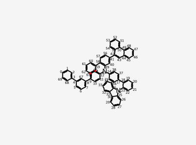 c1ccc(-c2cccc(-c3ccc(N(c4ccc(-c5ccccc5-n5c6ccccc6c6ccccc65)cc4)c4cc(-c5cc6ccccc6c6ccccc56)ccc4-c4ccccc4)cc3)c2)cc1